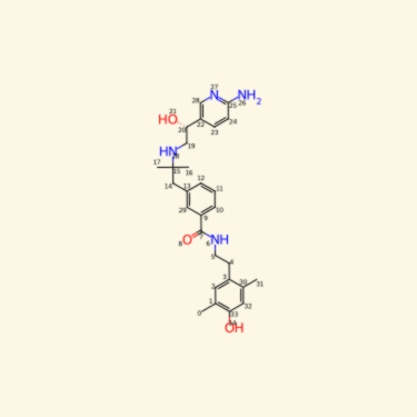 Cc1cc(CCNC(=O)c2cccc(CC(C)(C)NC[C@H](O)c3ccc(N)nc3)c2)c(C)cc1O